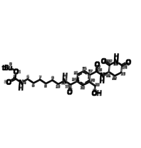 CC(C)(C)OC(=O)NCCCCCCNC(=O)c1ccc(C(=O)NC2CCC(=O)NC2=O)c(CO)c1